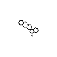 [2H]N1CCC2(CNc3ccccc32)CC1Cc1ccccc1